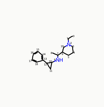 CCN1CCCC(C(C)NC2CC2c2ccccc2)C1